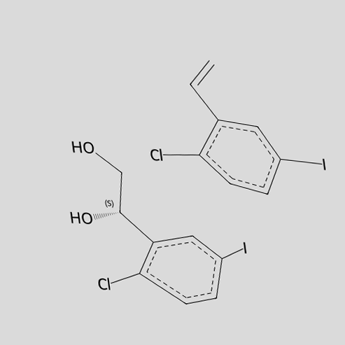 C=Cc1cc(I)ccc1Cl.OC[C@@H](O)c1cc(I)ccc1Cl